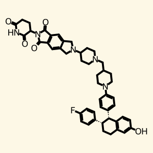 O=C1CCC(N2C(=O)c3cc4c(cc3C2=O)CN(C2CCN(CC3CCN(c5ccc([C@@H]6c7ccc(O)cc7CC[C@@H]6c6ccc(F)cc6)cc5)CC3)CC2)C4)C(=O)N1